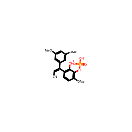 COc1cc(OC)cc(C(=CC#N)c2ccc(OC)c(OP(=O)(O)O)c2O)c1